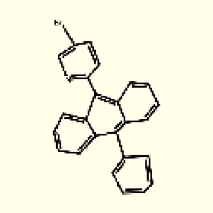 Brc1ccc(-c2c3ccccc3c(-c3ccccc3)c3ccccc23)nc1